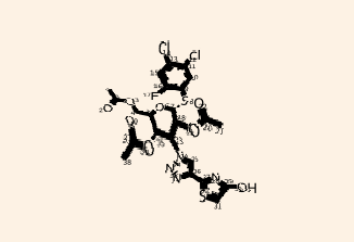 CC(=O)OCC1O[C@H](Sc2cc(Cl)c(Cl)cc2F)C(OC(C)=O)C(n2cc(-c3nc(O)cs3)nn2)[C@H]1OC(C)=O